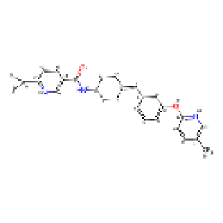 O=C(NC1CCC(=Cc2cccc(Oc3ccc(C(F)(F)F)cn3)c2)CC1)c1ccc(C2CC2)nc1